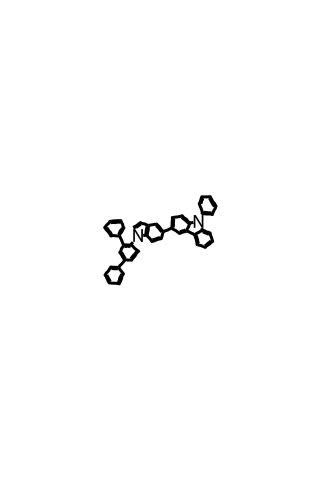 c1ccc(-c2ccc(-n3ccc4cc(-c5ccc6c(c5)c5ccccc5n6-c5ccccc5)ccc43)c(-c3ccccc3)c2)cc1